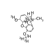 [2H]OC1C=C[C@H]2[C@@H]3N(C)CC[C@@]24c2c(ccc(OC([2H])([2H])[2H])c2OC14)C3([2H])[2H]